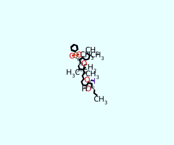 C=C([C@H](C)CC1CC[C@@H]2O[C@@H](CCCC)C[C@]2(CI)O1)[C@H](C)C[C@@H]1OC(CC(C)CC)[C@H](C)[C@H]1CS(=O)(=O)c1ccccc1